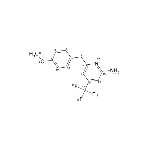 COc1ccc(Cc2cc(C(F)(F)F)cc(N)n2)cc1